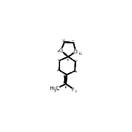 CC(F)=C1CCC2(CC1)OCCO2